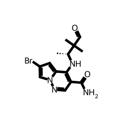 C[C@@H](Nc1c(C(N)=O)cnn2cc(Br)cc12)C(C)(C)C=O